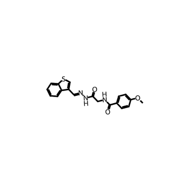 COc1ccc(C(=O)NCC(=O)N/N=C/c2csc3ccccc23)cc1